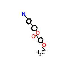 C=CCOc1ccc(C(=O)Oc2ccc(-c3ccc(C#N)cc3)cc2)cc1